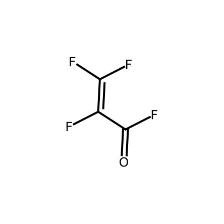 O=C(F)C(F)=C(F)F